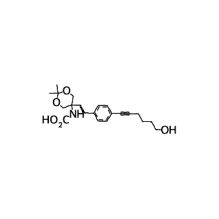 CC1(C)OCC(/C=C/c2ccc(C#CCCCCO)cc2)(NC(=O)O)CO1